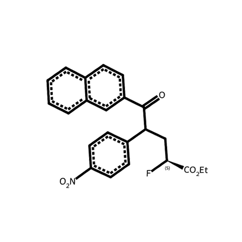 CCOC(=O)[C@@H](F)CC(C(=O)c1ccc2ccccc2c1)c1ccc([N+](=O)[O-])cc1